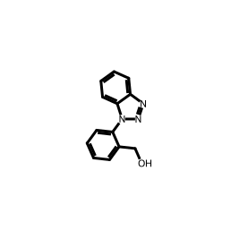 OCc1ccccc1-n1nnc2ccccc21